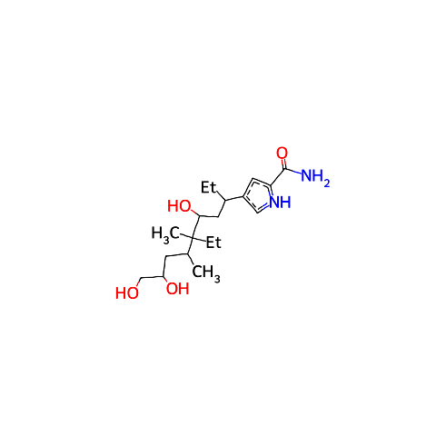 CCC(CC(O)C(C)(CC)C(C)CC(O)CO)c1c[nH]c(C(N)=O)c1